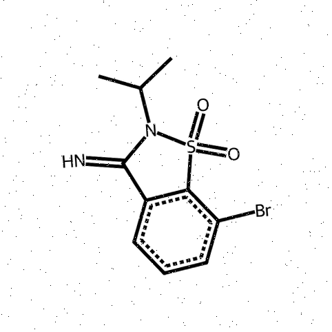 CC(C)N1C(=N)c2cccc(Br)c2S1(=O)=O